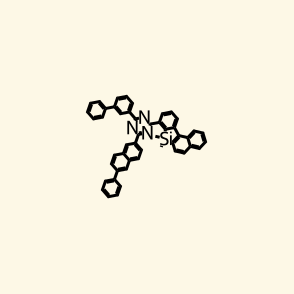 C[Si]1(C)c2ccc3ccccc3c2-c2cccc(-c3nc(-c4cccc(-c5ccccc5)c4)nc(-c4ccc5cc(-c6ccccc6)ccc5c4)n3)c21